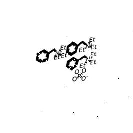 CC[N+](CC)(CC)Cc1ccccc1.CC[N+](CC)(CC)Cc1ccccc1.CC[N+](CC)(CC)Cc1ccccc1.O=P([O-])([O-])[O-]